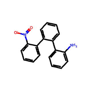 Nc1ccccc1-c1ccccc1-c1ccccc1[N+](=O)[O-]